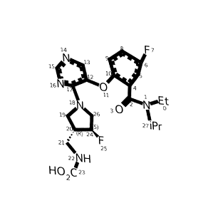 CCN(C(=O)c1cc(F)ccc1Oc1cncnc1N1C[C@@H](CNC(=O)O)[C@H](F)C1)C(C)C